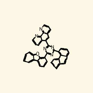 c1ccc2c(c1)ccc1cccc(-c3nc(-c4cc5cccnc5c5ncccc45)nc(-c4cccc5c4oc4ccccc45)n3)c12